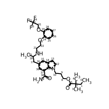 CCC(C)(C)C(=O)OCCCn1ccc2cc(CC(C)NCCOc3ccccc3OCC(F)(F)F)cc(C(N)=O)c21